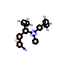 N#Cc1ccc2oc3ccc(-c4cc(-c5nc(-c6ccccc6)nc(-c6ccc(C78C[C@H]9C[C@@H](C7)C[C@@H](C8)C9)cc6)n5)cc(C56C[C@H]7C[C@H](C5)C[C@@H](C6)C7)c4)cc3c2c1